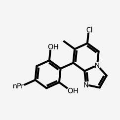 CCCc1cc(O)c(-c2c(C)c(Cl)cn3ccnc23)c(O)c1